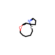 C1=NC2(/C=C\OCCCCCC2)CC1